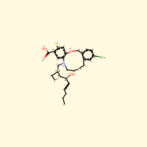 CCC/C=C/[C@H](O)[C@@H]1CC[C@H]1CN1CCCCc2cc(Cl)ccc2COc2cc(F)c(C(=O)O)cc21